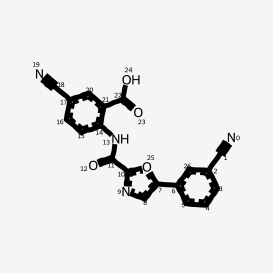 N#Cc1cccc(-c2cnc(C(=O)Nc3ccc(C#N)cc3C(=O)O)o2)c1